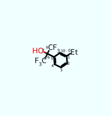 CCc1cccc(C(O)(C(F)(F)F)C(F)(F)F)c1